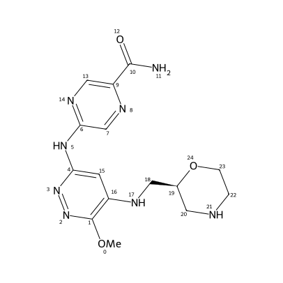 COc1nnc(Nc2cnc(C(N)=O)cn2)cc1NC[C@@H]1CNCCO1